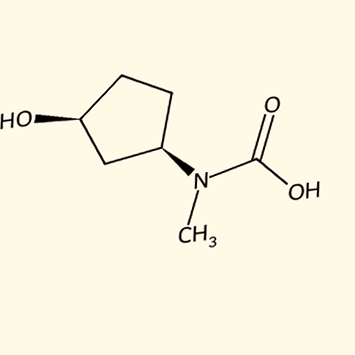 CN(C(=O)O)[C@@H]1CC[C@H](O)C1